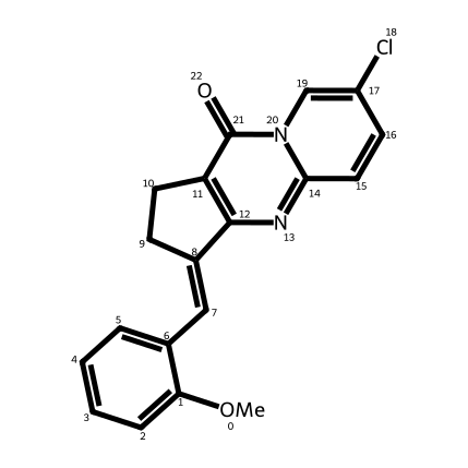 COc1ccccc1C=C1CCc2c1nc1ccc(Cl)cn1c2=O